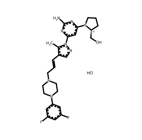 Cc1c(C=CCN2CCN(c3cc(F)cc(F)c3)CC2)cnn1-c1cc(N2CCC[C@H]2CO)nc(N)n1.Cl